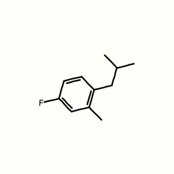 Cc1cc(F)ccc1CC(C)C